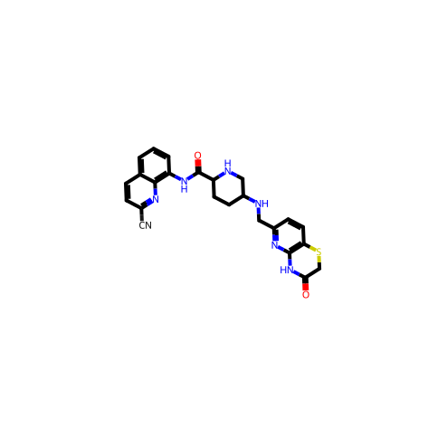 N#Cc1ccc2cccc(NC(=O)C3CCC(NCc4ccc5c(n4)NC(=O)CS5)CN3)c2n1